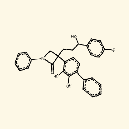 O=C1N(c2ccccc2)CC1(CCC(O)c1ccc(F)cc1)c1ccc(-c2ccccc2)c(O)c1O